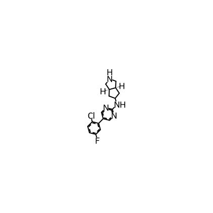 Fc1ccc(Cl)c(-c2cnc(NC3C[C@H]4CNC[C@H]4C3)nc2)c1